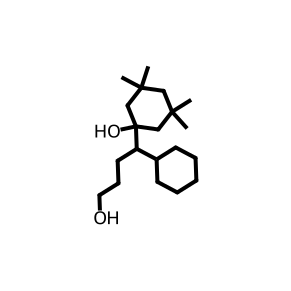 CC1(C)CC(C)(C)CC(O)(C(CCCO)C2CCCCC2)C1